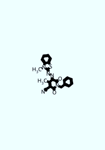 CC1=C(C#N)C(=O)N(Cc2ccccc2)C(=O)/C1=N/N=c1\sc2ccccc2n1C